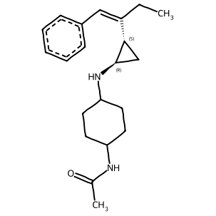 CCC(=Cc1ccccc1)[C@@H]1C[C@H]1NC1CCC(NC(C)=O)CC1